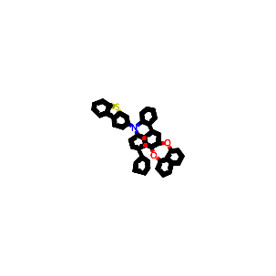 c1ccc(-c2ccc(N(c3ccc4c(c3)sc3ccccc34)c3ccccc3-c3ccc4c(c3)Oc3cccc5cccc(c35)O4)cc2)cc1